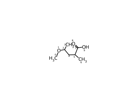 COC(C)CC(C)C(=O)O